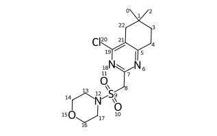 CC1(C)CCc2nc(CS(=O)(=O)N3CCOCC3)nc(Cl)c2C1